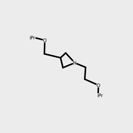 CC(C)OCCN1CC(COC(C)C)C1